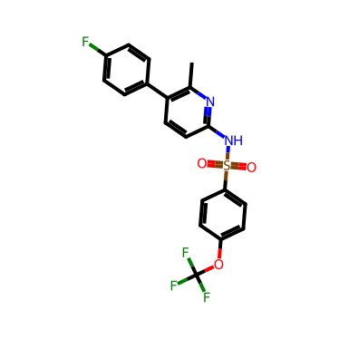 Cc1nc(NS(=O)(=O)c2ccc(OC(F)(F)F)cc2)ccc1-c1ccc(F)cc1